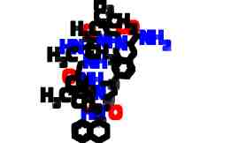 CNCC(=O)NC(C(=O)N1Cc2cc([C@H]3C[C@@H](C(=O)N[C@@H]4CCCc5ccccc54)N(C(=O)[C@@H](NC(=O)CNC)C(C)(C)C)C3)ccc2CC1C(N)=O)C(C)(C)C